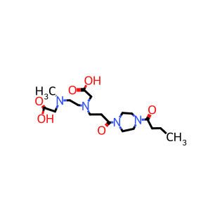 CCCC(=O)N1CCN(C(=O)CCN(CCN(C)CC(=O)O)CC(=O)O)CC1